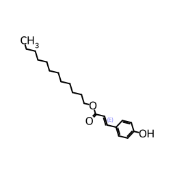 CCCCCCCCCCCCOC(=O)/C=C/c1ccc(O)cc1